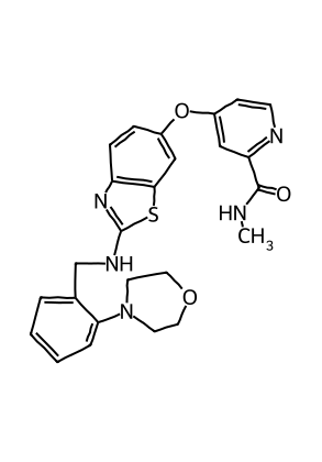 CNC(=O)c1cc(Oc2ccc3nc(NCc4ccccc4N4CCOCC4)sc3c2)ccn1